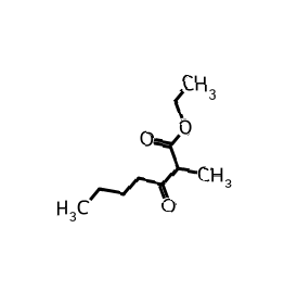 CCCCC(=O)C(C)C(=O)OCC